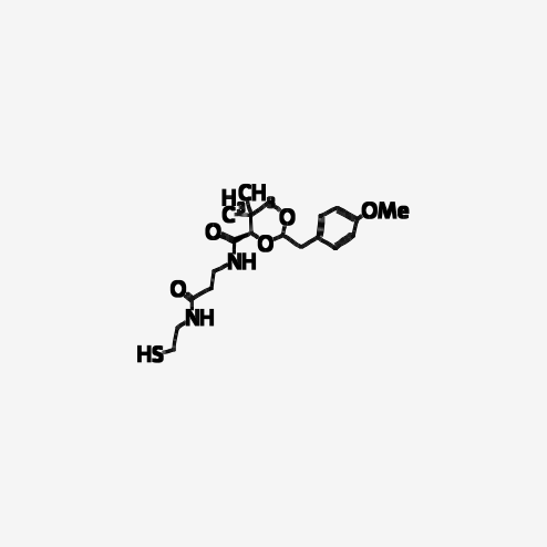 COc1ccc(CC2OCC(C)(C)[C@H](C(=O)NCCC(=O)NCCS)O2)cc1